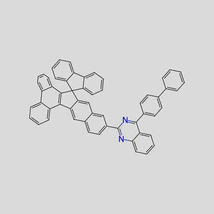 c1ccc(-c2ccc(-c3nc(-c4ccc5cc6c(cc5c4)C4(c5ccccc5-c5ccccc54)c4c-6c5ccccc5c5ccccc45)nc4ccccc34)cc2)cc1